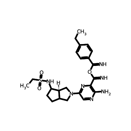 CCc1ccc(C(=N)OC(=N)c2nc(N3CC4CCC(NS(=O)(=O)CC)[C@H]4C3)cnc2N)cc1